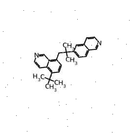 CC(C)(C)c1ccc(CC(C)(C)c2ccc3cnccc3c2)c2cnccc12